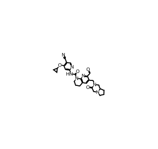 N#Cc1cnc(NC(=O)N2CCCc3cc(CN4CC5CCCN5CC4=O)c(C=O)nc32)cc1OC1CC1